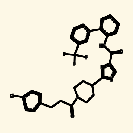 O=C(Nc1ccccc1-c1cccc(C(F)(F)F)c1)c1csc(C2CCN(C(=O)CCc3ccc(Cl)cc3)CC2)n1